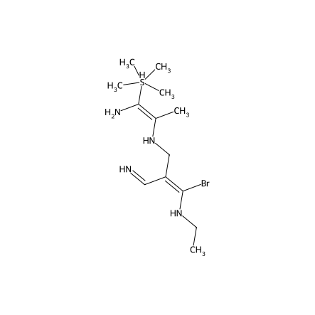 CCN/C(Br)=C(\C=N)CN/C(C)=C(\N)[SH](C)(C)(C)C